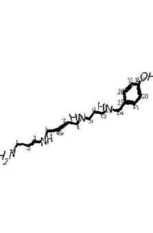 NCCCNCCCCNCCCNCc1ccc(O)cc1